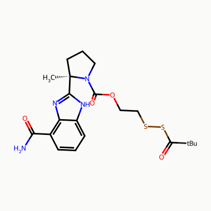 CC(C)(C)C(=O)SSCCOC(=O)N1CCC[C@]1(C)c1nc2c(C(N)=O)cccc2[nH]1